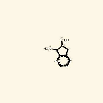 O=C(O)C1c2ncccc2CN1C(=O)O